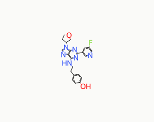 Oc1ccc(CCNc2nc(-c3cncc(F)c3)nc3c2ncn3[C@@H]2CCOC2)cc1